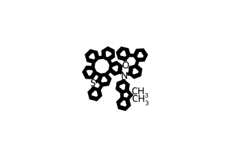 CC1(C)c2ccccc2-c2ccc(N(c3ccc4c5ccccc5c5ccccc5c5ccccc5c5c(ccc6c7ccccc7sc65)c4c3)c3cccc4c3Oc3ccccc3-c3ccccc3-4)cc21